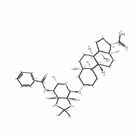 C[C@@H]1O[C@@H](O[C@H]2CC[C@@]3(C)[C@H](CC[C@@H]4[C@@H]3CC[C@]3(C)[C@@H](C(=O)O)CC[C@]43N)C2)[C@@H]2OC(C)(C)O[C@@H]2[C@H]1OC(=O)c1ccccc1